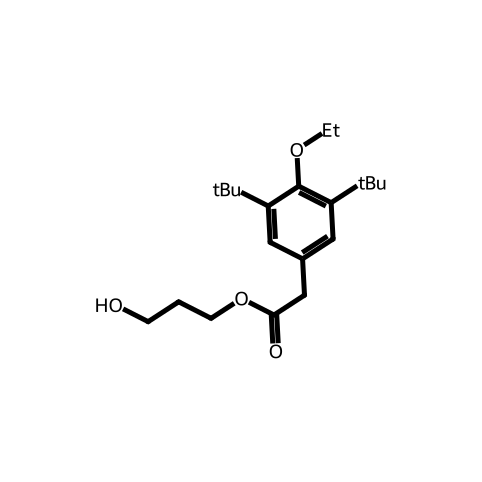 CCOc1c(C(C)(C)C)cc(CC(=O)OCCCO)cc1C(C)(C)C